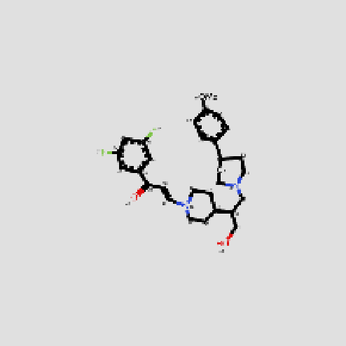 COc1ccc(C2CCN(CC(CO)C3CCN(C=CC(=O)c4cc(F)cc(F)c4)CC3)CC2)cc1